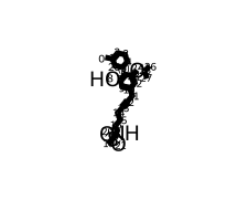 CC1=CCC[C@H](c2c(O)cc(CC#CCCCNS(C)(=O)=O)cc2OC(C)C)C1